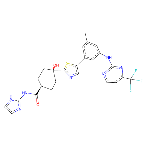 Cc1cc(Nc2nccc(C(F)(F)F)n2)cc(-c2cnc([C@]3(O)CC[C@@H](C(=O)Nc4ncc[nH]4)CC3)s2)c1